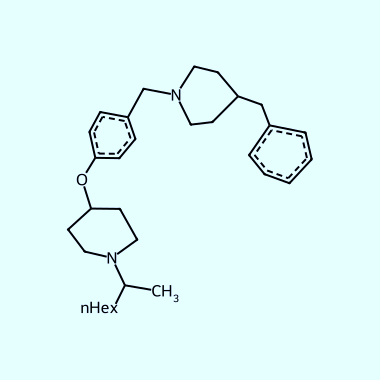 CCCCCCC(C)N1CCC(Oc2ccc(CN3CCC(Cc4ccccc4)CC3)cc2)CC1